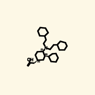 C=C(O)C[C@@H]1CC[C@@H](N(CCC2CCCCC2)CCC2CCCCC2)[C@H](C2CCCCC2)C1